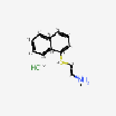 Cl.NCCSc1cccc2ccccc12